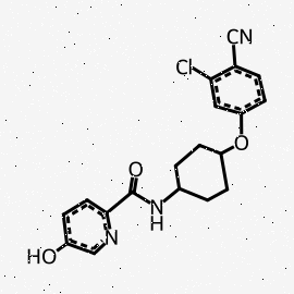 N#Cc1ccc(OC2CCC(NC(=O)c3ccc(O)cn3)CC2)cc1Cl